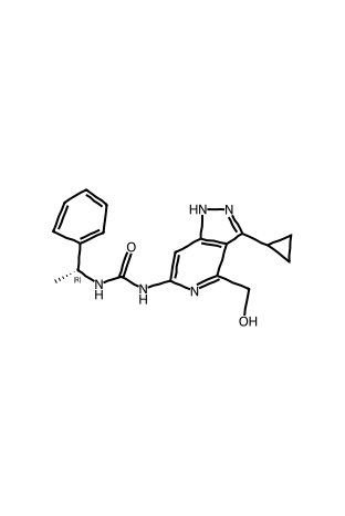 C[C@@H](NC(=O)Nc1cc2[nH]nc(C3CC3)c2c(CO)n1)c1ccccc1